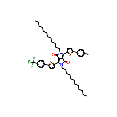 CCCCCCCCCCCCN1C(=O)C2=C(c3ccc(-c4ccc(C(F)(F)F)cc4)s3)N(CCCCCCCCCCCC)C(=O)C2=C1c1ccc(-c2ccc(C)cc2)s1